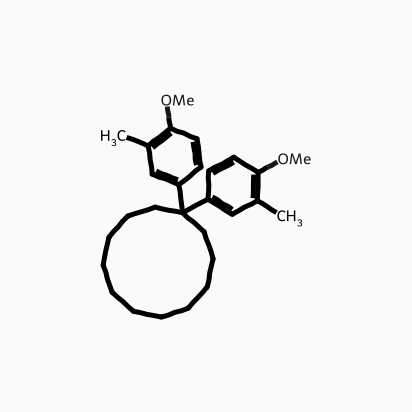 COc1ccc(C2(c3ccc(OC)c(C)c3)CCCCCCCCCCC2)cc1C